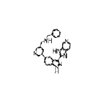 c1ccc(CNCc2cncc(-c3ccc4[nH]nc(-c5nc6ccncc6[nH]5)c4c3)c2)cc1